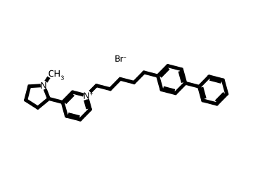 CN1CCCC1c1ccc[n+](CCCCCc2ccc(-c3ccccc3)cc2)c1.[Br-]